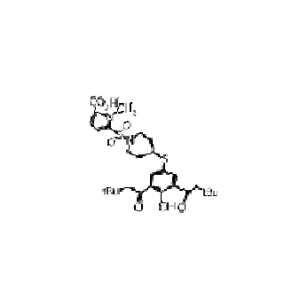 Cn1c(C(=O)O)ccc1S(=O)(=O)N1CCC(Sc2cc(C(=O)CC(C)(C)C)c(O)c(C(=O)CC(C)(C)C)c2)CC1